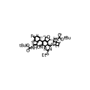 CCSc1nc(N2C3CCC34C2CN4C(=O)OC(C)(C)C)c2c3c(c(-c4ccc(F)c5sc(NC(=O)OC(C)(C)C)c(C#N)c45)c(F)c2n1)COC3